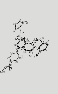 COc1cccc(F)c1-c1nc2nc(OC[C@@H]3CCCN3C)cc(N3CCN(C(=O)OC(C)(C)C)C[C@H]3C)c2cc1F